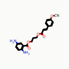 N#COc1ccc(/C=C/C(=O)OCCCOC(=O)c2cc(N)ccc2N)cc1